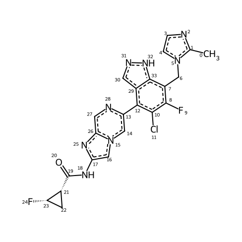 Cc1nccn1Cc1c(F)c(Cl)c(-c2cn3cc(NC(=O)[C@@H]4C[C@@H]4F)nc3cn2)c2cn[nH]c12